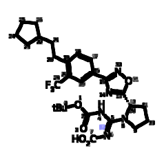 CC(C)(C)OC(=O)N/C(=N\C(=O)O)N1CCC[C@H]1c1nc(-c2ccc(CCC3CCCC3)c(C(F)(F)F)c2)no1